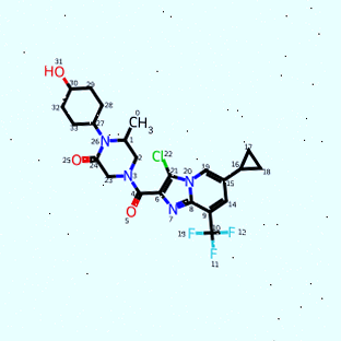 CC1CN(C(=O)c2nc3c(C(F)(F)F)cc(C4CC4)cn3c2Cl)CC(=O)N1C1CCC(O)CC1